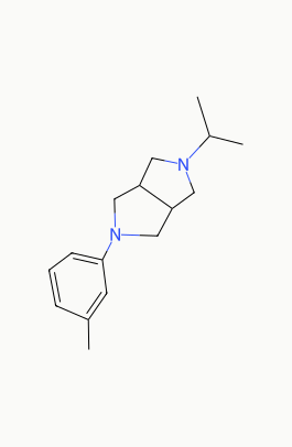 Cc1cccc(N2CC3CN(C(C)C)CC3C2)c1